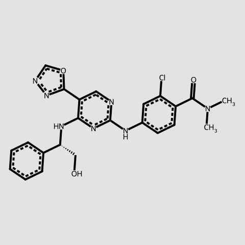 CN(C)C(=O)c1ccc(Nc2ncc(-c3nnco3)c(N[C@H](CO)c3ccccc3)n2)cc1Cl